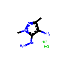 Cc1nn(C)c(NN)c1N.Cl.Cl